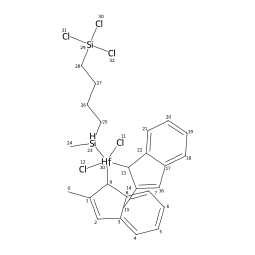 CC1=Cc2ccccc2[CH]1[Hf]([Cl])([Cl])([CH]1C(C)=Cc2ccccc21)[SiH](C)CCCC[Si](Cl)(Cl)Cl